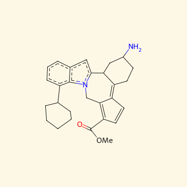 COC(=O)C1=C2Cn3c(cc4cccc(C5CCCCC5)c43)C3CC(N)CCC3=C2C=C1